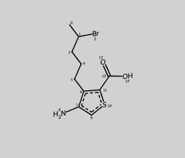 CC(Br)CCCc1c(N)csc1C(=O)O